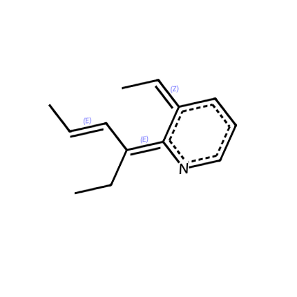 C/C=c1/cccn/c1=C(/C=C/C)CC